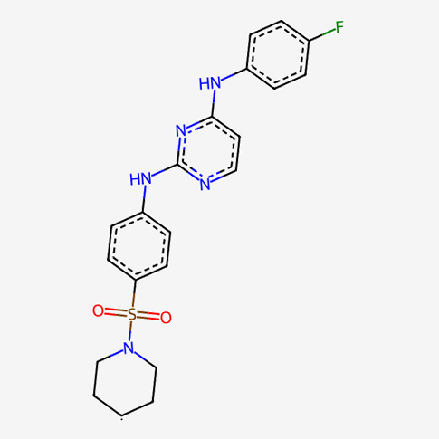 O=S(=O)(c1ccc(Nc2nccc(Nc3ccc(F)cc3)n2)cc1)N1CC[CH]CC1